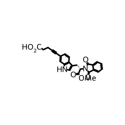 COC(=O)[C@H](Cc1c[nH]c2cc(C#CCCC(=O)O)ccc12)N1C(=O)c2ccccc2C1=O